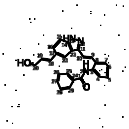 O=C(Nc1ccccc1C=Cc1n[nH]c2ccc(C=CCO)cc12)c1ccccc1